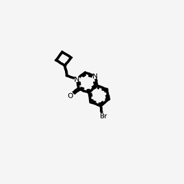 O=c1c2cc(Br)ccc2ncn1CC1CCC1